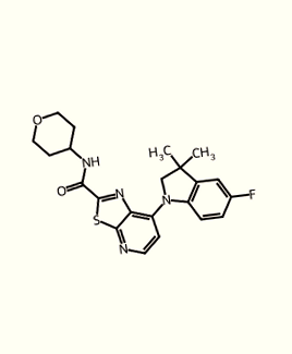 CC1(C)CN(c2ccnc3sc(C(=O)NC4CCOCC4)nc23)c2ccc(F)cc21